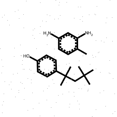 CC(C)(C)CC(C)(C)c1ccc(O)cc1.Cc1ccc(N)cc1N